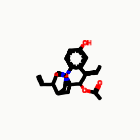 C=CC1CN2CCC1CC2[C@H](OC(C)=O)/C(=C/C)c1cc(O)ccc1N=C